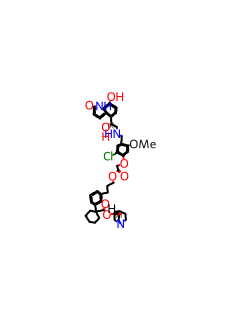 COc1cc(OCC(=O)OCCCc2cccc(C3(C(=O)O[C@H]4CN5CCC4CC5)CCCCC3)c2)c(Cl)cc1CNC[C@H](O)c1ccc(O)c2[nH]c(=O)ccc12